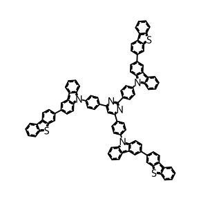 c1ccc2c(c1)sc1cc(-c3ccc4c(c3)c3ccccc3n4-c3ccc(-c4cc(-c5ccc(-n6c7ccccc7c7cc(-c8ccc9c(c8)sc8ccccc89)ccc76)cc5)nc(-c5ccc(-n6c7ccccc7c7cc(-c8ccc9c(c8)sc8ccccc89)ccc76)cc5)n4)cc3)ccc12